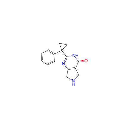 O=c1[nH]c(C2(c3ccccc3)CC2)nc2c1CNC2